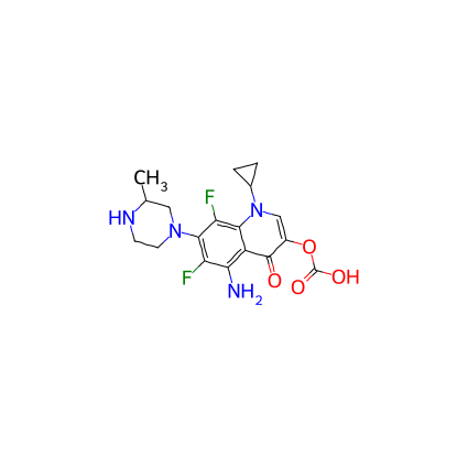 CC1CN(c2c(F)c(N)c3c(=O)c(OC(=O)O)cn(C4CC4)c3c2F)CCN1